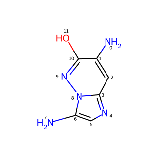 Nc1cc2ncc(N)n2nc1O